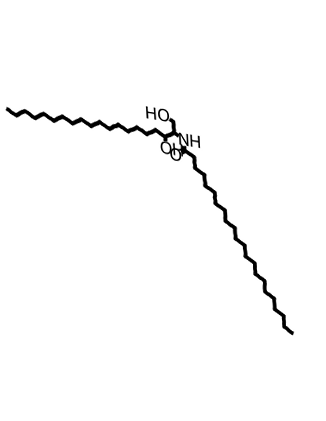 CCCCCCCCCCCCCCCCCCCCCC(=O)NC(CO)C(O)CCCCCCCCCCCCCCCCC